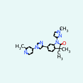 Cc1cc(-n2cnc(-c3ccc4c(c3)N(c3ccn(C)n3)C(=O)C4(C)C)c2)ccn1